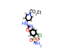 CCOC(=O)N1CCC(Nc2nc3cc(Cl)c(S(N)(=O)=O)cc3o2)CC1